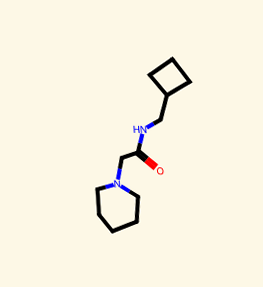 O=C(CN1CCCCC1)NCC1CCC1